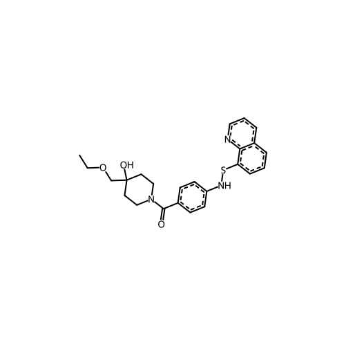 CCOCC1(O)CCN(C(=O)c2ccc(NSc3cccc4cccnc34)cc2)CC1